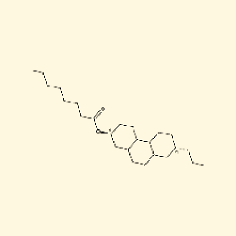 CCCCCCCC(=O)O[C@H]1CCC2C(CCC3C[C@@H](CCC)CCC32)C1